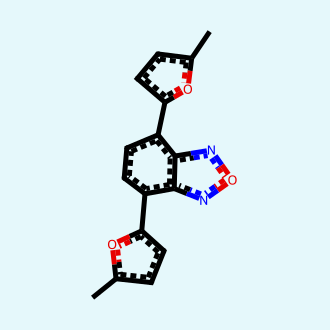 Cc1ccc(-c2ccc(-c3ccc(C)o3)c3nonc23)o1